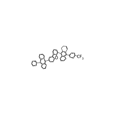 FC(F)(F)c1ccc(-c2c3c(c(-c4cccc5c4oc4ccc(-c6c7ccccc7c(-c7ccccc7)c7ccccc67)cc45)c4ccccc24)CCC=C3)cc1